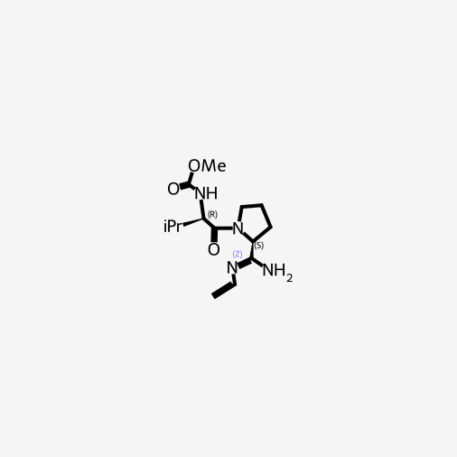 C=C/N=C(\N)[C@@H]1CCCN1C(=O)[C@H](NC(=O)OC)C(C)C